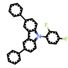 Fc1ccc(-n2c3ccc(-c4ccccc4)cc3c3cc(-c4ccccc4)ccc32)c(F)c1